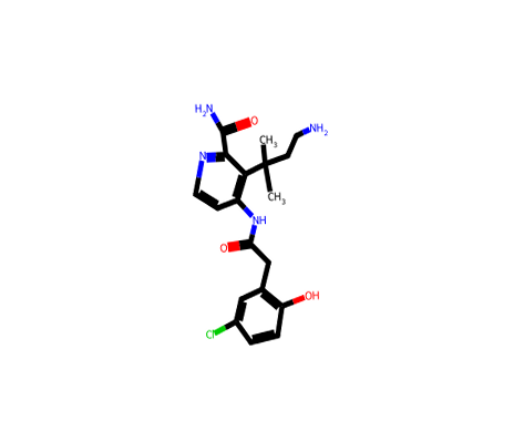 CC(C)(CCN)c1c(NC(=O)Cc2cc(Cl)ccc2O)ccnc1C(N)=O